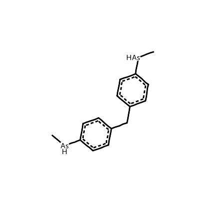 C[AsH]c1ccc(Cc2ccc([AsH]C)cc2)cc1